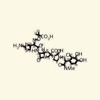 CNC(=O)/C(=N\N1CCN([C@]2(C(=O)O)CN3C(=O)[C@@H](NC(=O)/C(=N\OC(C)(C)C(=O)O)c4csc(N)n4)[C@H]3S2)C1=O)c1ccc(O)c(O)c1Cl